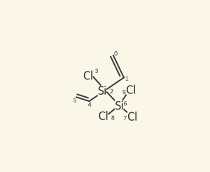 C=C[Si](Cl)(C=C)[Si](Cl)(Cl)Cl